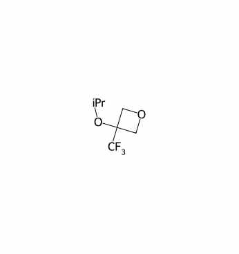 CC(C)OC1(C(F)(F)F)COC1